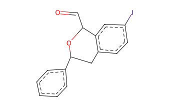 O=CC1OC(c2ccccc2)Cc2ccc(I)cc21